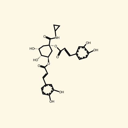 O=C(/C=C/c1ccc(O)c(O)c1)O[C@@H]1C[C@](OC(=O)/C=C/c2ccc(O)c(O)c2)(C(=O)NC2CC2)C[C@@H](O)[C@H]1O